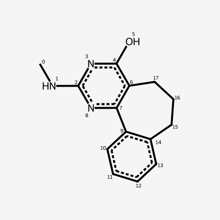 CNc1nc(O)c2c(n1)-c1ccccc1CCC2